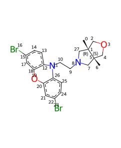 C[C@@]12COC[C@]1(C)CN(CCN1c3ccc(Br)cc3Oc3cc(Br)ccc31)C2